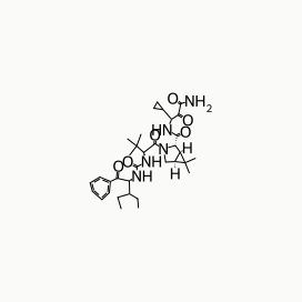 CCC(CC)[C@H](NC(=O)N[C@H](C(=O)N1C[C@H]2[C@@H]([C@H]1C(=O)NC(C(=O)C(N)=O)C1CC1)C2(C)C)C(C)(C)C)C(=O)c1ccccc1